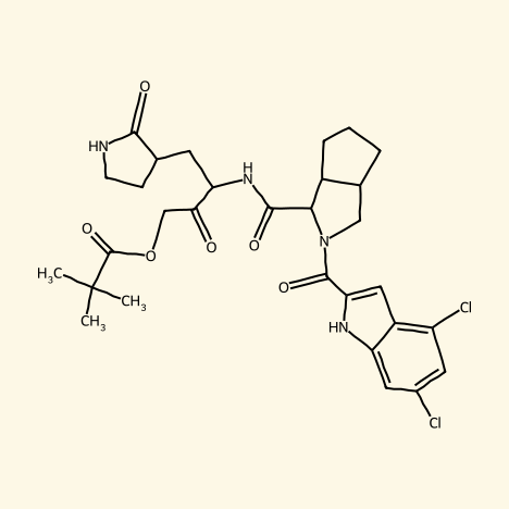 CC(C)(C)C(=O)OCC(=O)C(CC1CCNC1=O)NC(=O)C1C2CCCC2CN1C(=O)c1cc2c(Cl)cc(Cl)cc2[nH]1